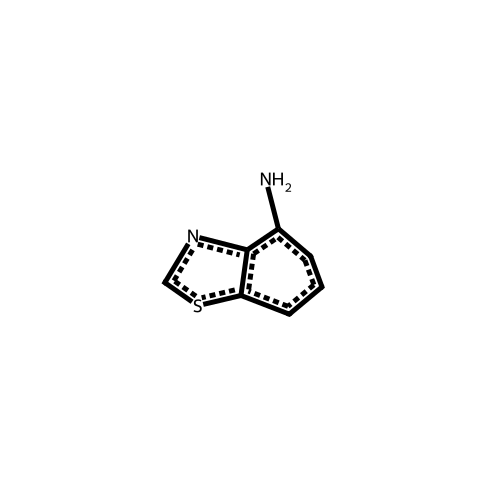 Nc1cccc2scnc12